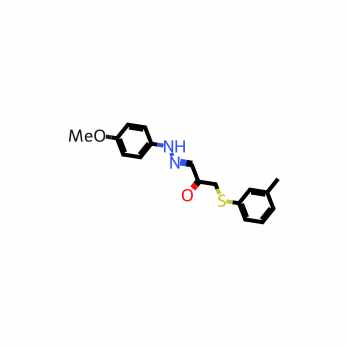 COc1ccc(NN=CC(=O)CSc2cccc(C)c2)cc1